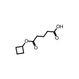 O=C(O)CCCC(=O)OC1CCC1